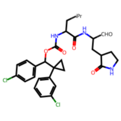 CC(C)CC(NC(=O)OC(c1ccc(Cl)cc1)C1(c2cccc(Cl)c2)CC1)C(=O)NC(C=O)CC1CCNC1=O